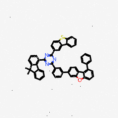 CC1(C)c2ccccc2-c2c(-c3nc(-c4cccc(-c5ccc6c(c5)oc5cccc(-c7ccccc7)c56)c4)nc(-c4ccc5sc6ccccc6c5c4)n3)cccc21